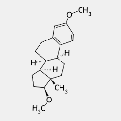 COc1ccc2c(c1)CC[C@H]1[C@@H]2CC[C@]2(C)[C@@H](OC)CC[C@@H]12